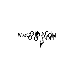 COC(=O)C(O)CCC(=O)/C=C/c1c(C(C)C)nc([C@H](C)CO)c(CO)c1-c1ccc(F)cc1